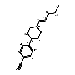 C#Cc1ccc(C2CCC(/C=C/CCC)CC2)cc1